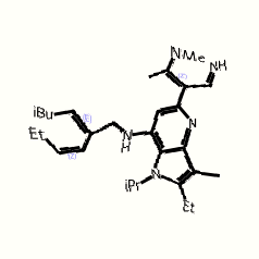 CC/C=C\C(=C/C(C)CC)CNc1cc(/C(C=N)=C(\C)NC)nc2c(C)c(CC)n(C(C)C)c12